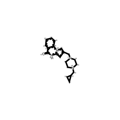 O=c1[nH]c2cc(CN3CCN(CC4CC4)CC3)cn2c2ccccc12